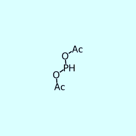 CC(=O)OPOC(C)=O